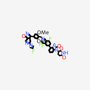 COc1cc(-c2cn(C)c(=O)c3cnc(N4CC(F)C4)cc23)cc(OC)c1CN1Cc2c(F)cc(-c3cccc4c3n(C)c(=O)n4C3CCC(=O)NC3=O)cc2C(F)(F)C1